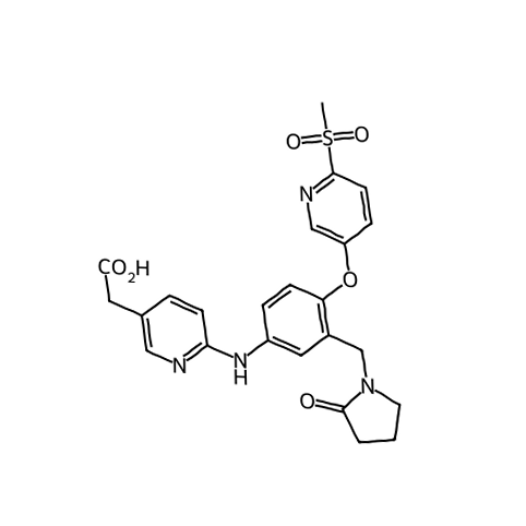 CS(=O)(=O)c1ccc(Oc2ccc(Nc3ccc(CC(=O)O)cn3)cc2CN2CCCC2=O)cn1